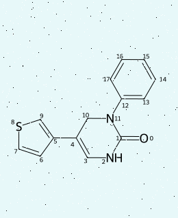 O=C1NC=C(c2ccsc2)CN1c1ccccc1